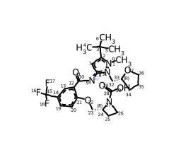 Cn1c(C(C)(C)C)c/c(=N\C(=O)c2cc(C(F)(F)F)ccc2OC[C@H]2CCN2C(=O)O)n1C[C@H]1CCCO1